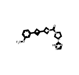 O=C(N1CC(C23CC(c4cccc(OC(F)(F)F)c4)(C2)C3)C1)N1CC[C@H](c2ncn[nH]2)C1